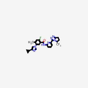 Cc1cc(F)c(C(=O)Nc2cccc(-c3nnc4n3[C@H](C(F)(F)F)CC4)n2)cc1-n1cnc(C2CC2)c1